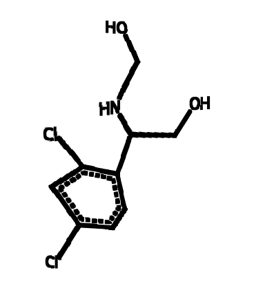 OCNC(CO)c1ccc(Cl)cc1Cl